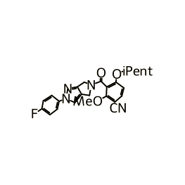 CCCC(C)Oc1ccc(C#N)c(OC)c1C(=O)N1Cc2cn(-c3ccc(F)cc3)nc2C1